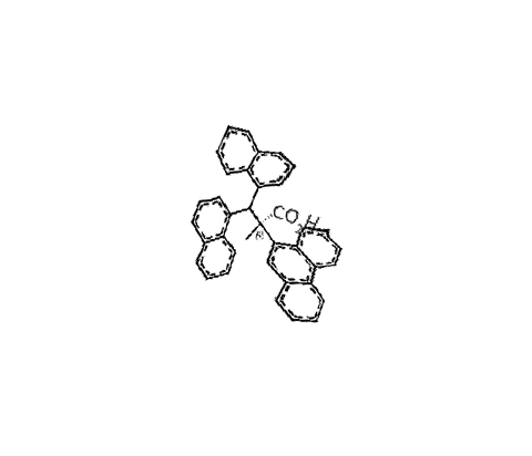 C[C@](C(=O)O)(c1cc2ccccc2c2ccccc12)C(c1cccc2ccccc12)c1cccc2ccccc12